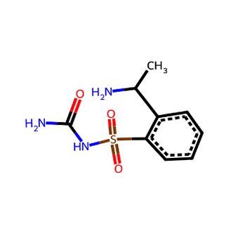 CC(N)c1ccccc1S(=O)(=O)NC(N)=O